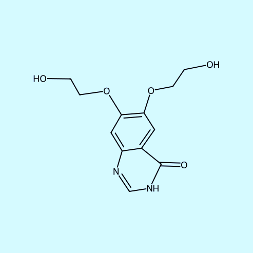 O=c1[nH]cnc2cc(OCCO)c(OCCO)cc12